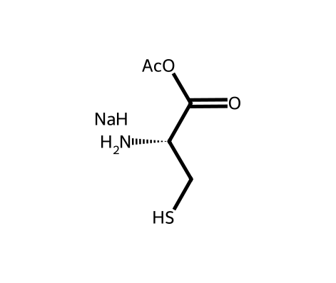 CC(=O)OC(=O)[C@@H](N)CS.[NaH]